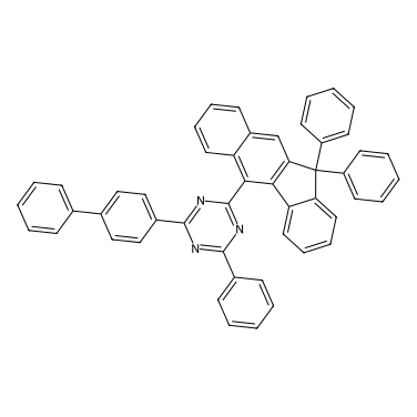 c1ccc(-c2ccc(-c3nc(-c4ccccc4)nc(-c4c5c(cc6ccccc46)C(c4ccccc4)(c4ccccc4)c4ccccc4-5)n3)cc2)cc1